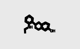 CCNc1ccccc1C1CCc2cc(O)ccc2C1